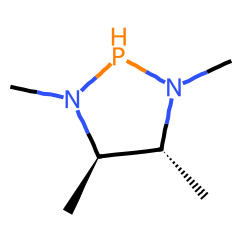 C[C@@H]1[C@@H](C)N(C)PN1C